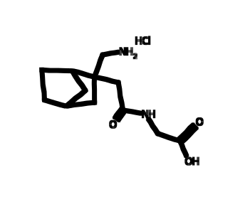 Cl.NCC1(CC(=O)NCC(=O)O)CC2CCC1C2